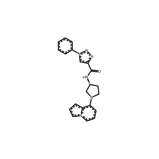 O=C(N[C@H]1CCN(c2cccn3cccc23)C1)c1cn(-c2ccccc2)nn1